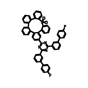 O=S1(=O)c2ccccc2-c2ccccc2-c2ccccc2-c2ccc(-c3nc(-c4cccc(-c5ccc(F)cc5)c4)nc(-c4cccc(-c5ccc(F)cc5)c4)n3)cc2-c2ccccc21